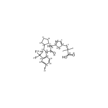 CC(C)(Sc1cnc(NC(=O)N(CC2CCCC2)c2ccc(F)cc2C(F)(F)F)s1)C(=O)O